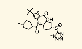 Cn1nnnc1[S+]([O-])[C@H]1CC[C@H](N(c2cc(C(C)(C)C)sc2C(=O)O)C(=O)[C@H]2CC[C@H](C)CC2)CC1